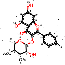 CC(=O)O[C@@H]1[C@@H](OC(C)=O)[C@@H](O)[C@H](Oc2c(-c3ccc(C)cc3)oc3cc(O)cc(O)c3c2=O)O[C@H]1C